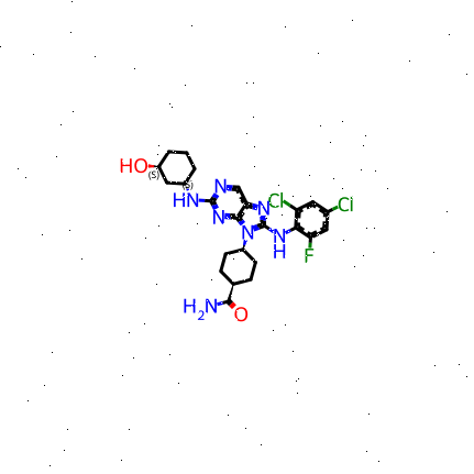 NC(=O)[C@H]1CC[C@@H](n2c(Nc3c(F)cc(Cl)cc3Cl)nc3cnc(N[C@H]4CCC[C@H](O)C4)nc32)CC1